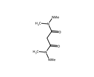 CNN(C)C(=O)CC(=O)N(C)NC